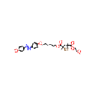 COCCOC(=O)C(C)(C)CC(C)(Br)C(=O)OCCCCCCOc1ccc(N=Nc2ccc(OC)cc2)cc1